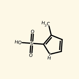 CC1=C(S(=O)(=O)O)[IH]C=C1